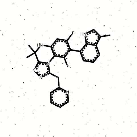 Cc1c[nH]c2c(-c3c(F)cc4c(c3F)-n3c(Cc5ccccn5)nnc3C(C)(C)N4)cccc12